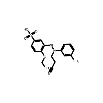 CCOc1ccc(S(=O)(=O)O)cc1NN(CCC#N)c1cccc(C)c1